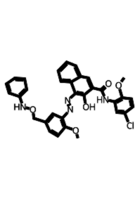 COc1ccc(CONc2ccccc2)cc1N=Nc1c(O)c(C(=O)Nc2cc(Cl)ccc2OC)cc2ccccc12